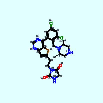 C[C@H]1CNC[C@H](C)N1Cc1c(Cl)cc(Cl)cc1-c1ncnc2cc(CCN3C(=O)CNC3=O)sc12